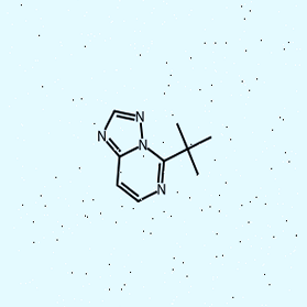 CC(C)(C)c1nccc2ncnn12